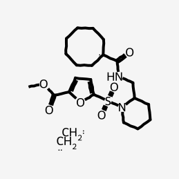 COC(=O)c1ccc(S(=O)(=O)N2CCCCC2CNC(=O)[C]2CCCCCCC2)o1.[CH2].[CH2]